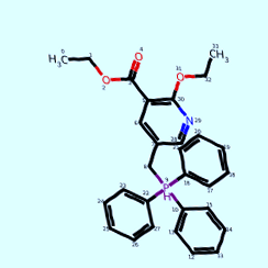 CCOC(=O)c1cc(C[PH](c2ccccc2)(c2ccccc2)c2ccccc2)cnc1OCC